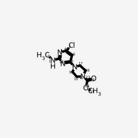 CNc1nc(Cl)cc(N2CCN(C(=O)OC)CC2)n1